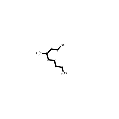 [CH2]C(CCO)CCCCO